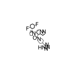 O=C(c1c(N2CCC[C@@H]2c2cc(F)ccc2F)ccn2nccc12)N1CCC(c2nnn[nH]2)CC1